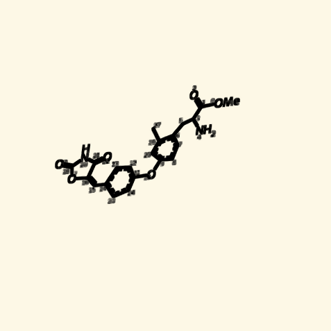 COC(=O)C(N)Cc1ccc(Oc2ccc(C=C3OC(=O)NC3=O)cc2)cc1C